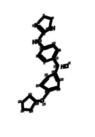 Cl.c1cc(NC2=NCCN2)ccc1Cc1ccc(OC2CCCC2)cc1